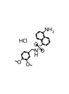 COc1ccc(CNS(=O)(=O)c2cccc3c(N)cccc23)cc1OC.Cl